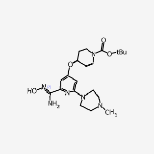 CN1CCN(c2cc(OC3CCN(C(=O)OC(C)(C)C)CC3)cc(/C(N)=N/O)n2)CC1